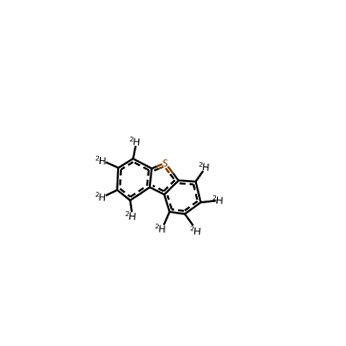 [2H]c1c([2H])c([2H])c2c(sc3c([2H])c([2H])c([2H])c([2H])c32)c1[2H]